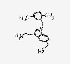 Cc1ccc(C)c(Cn2cc(CCN)c3cc(CS)ccc32)c1